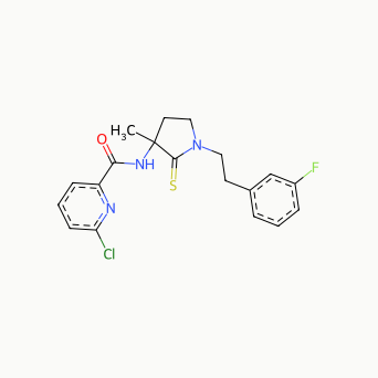 CC1(NC(=O)c2cccc(Cl)n2)CCN(CCc2cccc(F)c2)C1=S